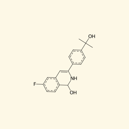 CC(C)(O)c1ccc(C2=Cc3cc(F)ccc3C(O)N2)cc1